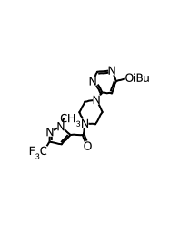 CC(C)COc1cc(N2CCN(C(=O)c3cc(C(F)(F)F)nn3C)CC2)ncn1